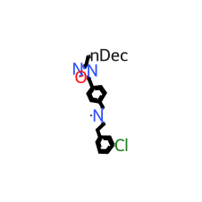 CCCCCCCCCCCc1noc(-c2ccc(C[N]CCc3cccc(Cl)c3)cc2)n1